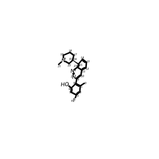 Cc1cc(F)cc(O)c1-c1cc2cccc([C@@H]3CCCN(C)C3)c2nn1